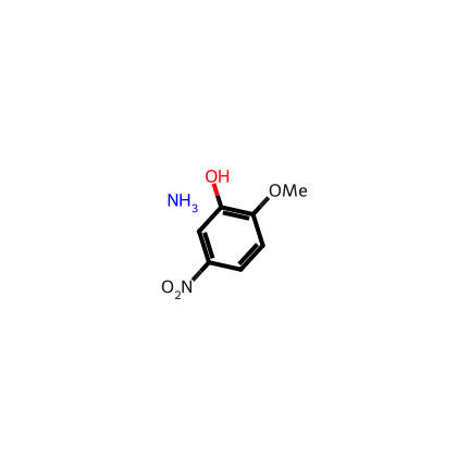 COc1ccc([N+](=O)[O-])cc1O.N